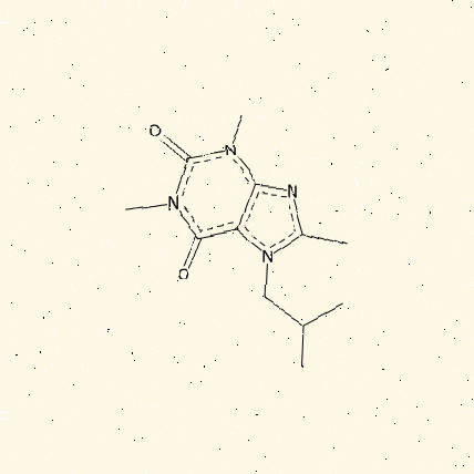 Cc1nc2c(c(=O)n(C)c(=O)n2C)n1CC(C)C